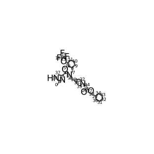 Cc1nc(C(=O)N(Cc2cccc(OC(F)(F)F)c2)CC2C3CN(CC(=O)OCc4ccccc4)CC32)c[nH]1